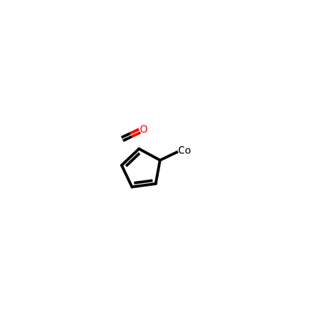 C=O.[Co][CH]1C=CC=C1